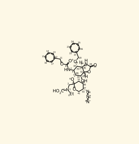 CCN(CC1(O[C@@H]2C(NC(=O)OCc3ccccc3)[C@H](OCc3ccccc3)[C@H]3NC(=O)O[C@@H]3[C@H]2O)CC[C@H](N=[N+]=[N-])CO1)C(=O)O